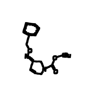 CC(C)(C)OC(=O)N1CC=CC(=NOCc2ccccc2)C1